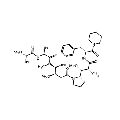 CC[C@H](C)[C@@H]([C@@H](CC(=O)N1CCC[C@H]1[C@H](OC)[C@@H](C)C(=O)N[C@H](Cc1ccccc1)C(=O)N1CCCCO1)OC)N(C)C(=O)[C@@H](NC(=O)[C@@H](NC)C(C)C)C(C)C